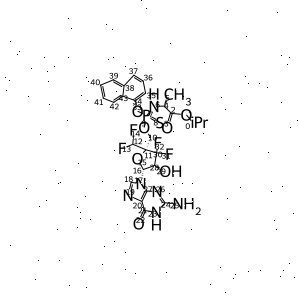 CC(C)OC(=O)[C@H](C)NP(=S)(OC[C@@]1(C(F)F)O[C@@H](n2cnc3c(=O)[nH]c(N)nc32)[C@H](O)C1(F)F)Oc1cccc2ccccc12